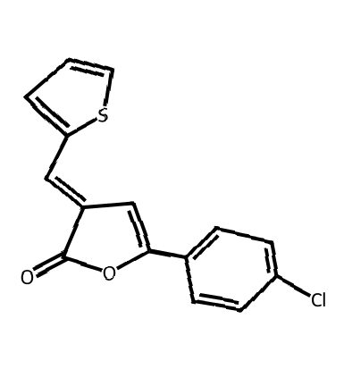 O=C1OC(c2ccc(Cl)cc2)=CC1=Cc1cccs1